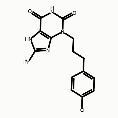 CC(C)c1nc2c([nH]1)c(=O)[nH]c(=O)n2CCCc1ccc(Cl)cc1